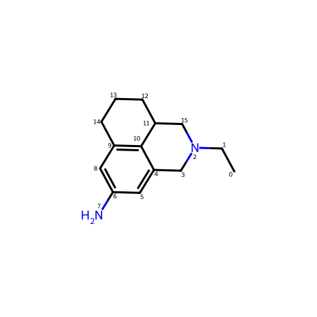 CCN1Cc2cc(N)cc3c2C(CCC3)C1